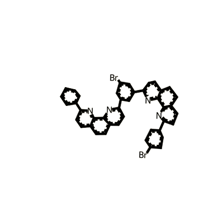 Brc1ccc(-c2ccc3ccc4ccc(-c5cc(Br)cc(-c6ccc7ccc8ccc(-c9ccccc9)nc8c7n6)c5)nc4c3n2)cc1